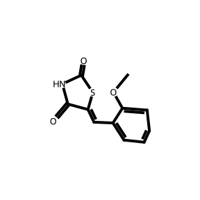 COc1ccccc1C=C1SC(=O)NC1=O